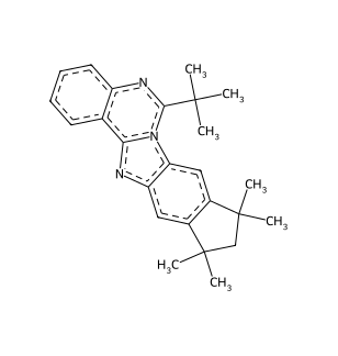 CC(C)(C)c1nc2ccccc2c2nc3cc4c(cc3n12)C(C)(C)CC4(C)C